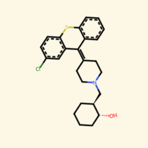 O[C@@H]1CCCC[C@H]1CN1CCC(=C2c3ccccc3Sc3ccc(Cl)cc32)CC1